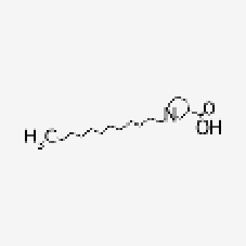 CCCCCCCCCCCCN1CCCC(C(=O)O)C1